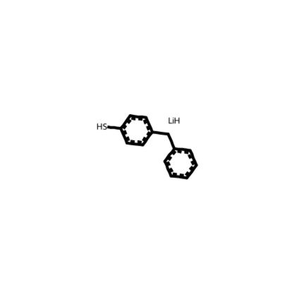 Sc1ccc(Cc2ccccc2)cc1.[LiH]